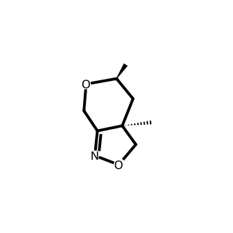 C[C@H]1C[C@@]2(C)CON=C2CO1